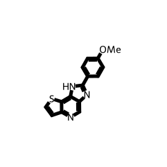 COc1ccc(-c2nc3cnc4ccsc4c3[nH]2)cc1